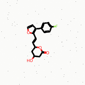 O=C1CC(O)CC(C=Cc2occc2-c2ccc(F)cc2)O1